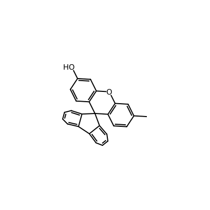 Cc1ccc2c(c1)Oc1cc(O)ccc1C21c2ccccc2-c2ccccc21